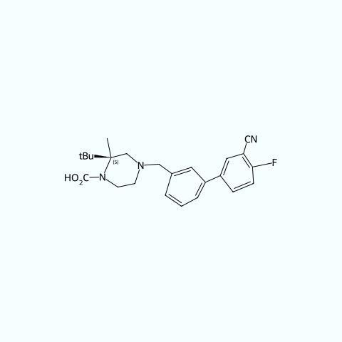 CC(C)(C)[C@@]1(C)CN(Cc2cccc(-c3ccc(F)c(C#N)c3)c2)CCN1C(=O)O